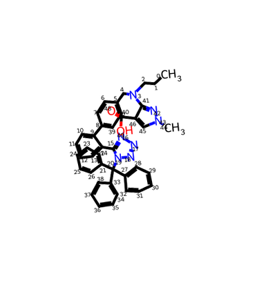 CCCN(Cc1ccc(-c2ccccc2-c2nnnn2C(c2ccccc2)(c2ccccc2)c2ccccc2)cc1)c1nn(C)cc1C(=O)O